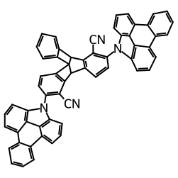 N#Cc1c(-n2c3cccc4c5ccccc5c5cccc2c5c43)ccc2c1C1c3ccccc3C13c1ccc(-n4c5cccc6c7ccccc7c7cccc4c7c65)c(C#N)c1C23